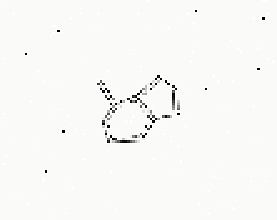 C=c1cccc2c1=CC=C2